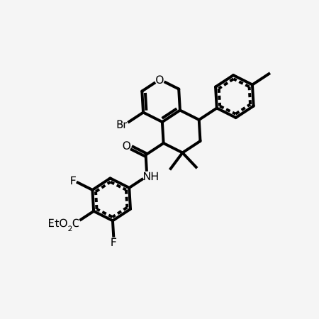 CCOC(=O)c1c(F)cc(NC(=O)C2C3=C(COC=C3Br)C(c3ccc(C)cc3)CC2(C)C)cc1F